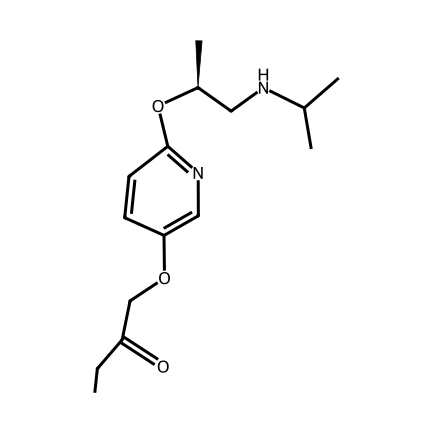 CCC(=O)COc1ccc(O[C@@H](C)CNC(C)C)nc1